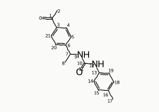 C=C(C)c1ccc(C(C)NC(=O)Nc2ccc(C)cc2)cc1